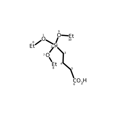 CCO[Si](CCCC(=O)O)(OCC)OCC